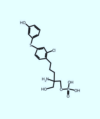 NC(CO)(CCCc1ccc(Sc2cccc(O)c2)cc1Cl)COP(=O)(O)O